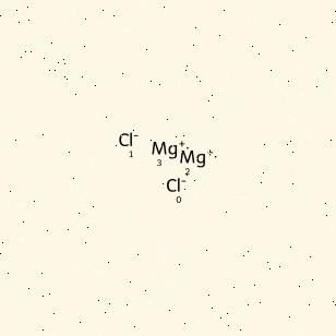 [Cl-].[Cl-].[Mg+].[Mg+]